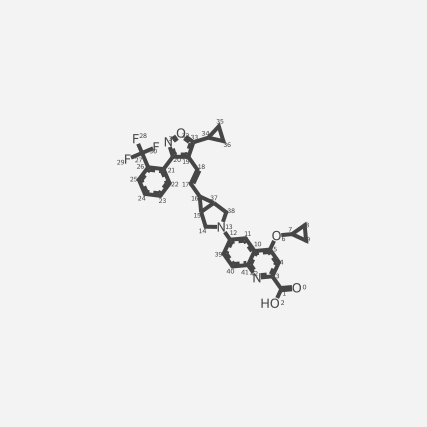 O=C(O)c1cc(OC2CC2)c2cc(N3CC4C(C=Cc5c(-c6ccccc6C(F)(F)F)noc5C5CC5)C4C3)ccc2n1